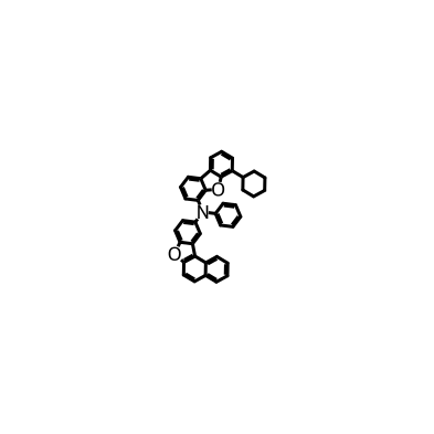 c1ccc(N(c2ccc3oc4ccc5ccccc5c4c3c2)c2cccc3c2oc2c(C4CCCCC4)cccc23)cc1